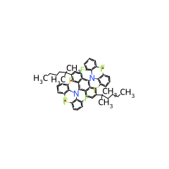 CCCCC(C)(C)c1ccc2c(N(c3c(F)cccc3F)c3c(F)cccc3F)c3cc(C(C)(C)CCCC)ccc3c(N(c3c(F)cccc3F)c3c(F)cccc3F)c2c1